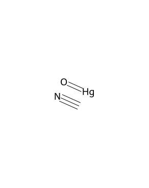 C#N.[O]=[Hg]